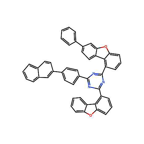 c1ccc(-c2ccc3c(c2)oc2cccc(-c4nc(-c5ccc(-c6ccc7ccccc7c6)cc5)nc(-c5cccc6oc7ccccc7c56)n4)c23)cc1